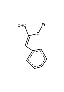 CCOC([C]=O)=Cc1ccccc1